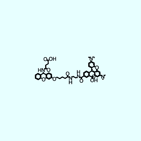 CN(C)c1ccc2c(-c3ccc(C(=O)NCCNC(=O)CCCCOc4ccc5c(c4)Oc4ccccc4C5NC(=O)CCC(=O)O)cc3C(=O)O)c3ccc(=[N+](C)C)cc-3oc2c1